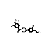 CCCc1ccc(N2CCN(C(=O)c3ccc(OC)c(Cl)c3)CC2)cc1Br